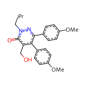 COc1ccc(-c2nn(CC(C)C)c(=O)c(CO)c2-c2ccc(OC)cc2)cc1